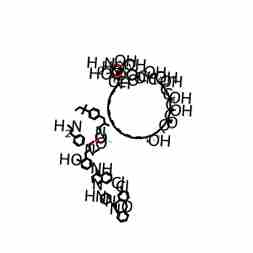 CC(N)Cc1ccccc1.CCC(C)(C)c1ccc(CC(C)CN2C[C@@H](C)O[C@@H](C)C2)cc1.CCN(CC)Cc1cc(Nc2ccnc3cc(Cl)ccc23)ccc1O.C[C@@H]1[C@H](O)[C@@H](C)\C=C/C=C\C=C/C=C\C=C/C=C\C=C/[C@H](O[C@@H]2O[C@H](C)[C@@H](O)[C@H](N)[C@@H]2O)C[C@@H]2O[C@](O)(C[C@@H](O)C[C@@H](O)[C@H](O)CC[C@@H](O)C[C@@H](O)CC(=O)O[C@H]1C)C[C@H](O)[C@H]2C(=O)O.Clc1ccc2c(c1)C(N1CCNCC1)=Nc1ccccc1O2